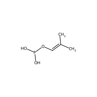 CC(C)=COP(O)O